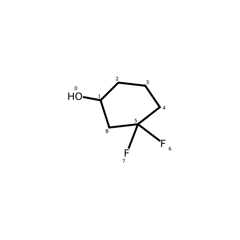 OC1CCCC(F)(F)C1